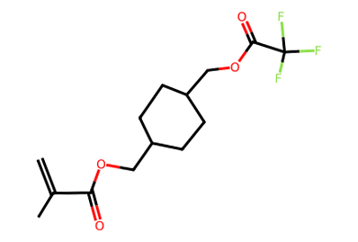 C=C(C)C(=O)OCC1CCC(COC(=O)C(F)(F)F)CC1